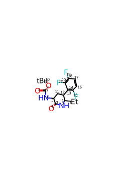 CCC1NC(=O)C(NC(=O)OC(C)(C)C)CC1c1c(F)ccc(F)c1F